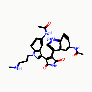 CNCCCn1cc(C2=C(c3c[nH]c4ccc(NC(C)=O)cc34)C(=O)NC2=O)c2cc(NC(C)=O)ccc21